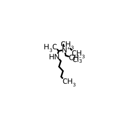 CCCCCNC(C)[N+](C)(CC)CC.[Cl-]